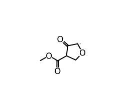 COC(=O)C1CO[CH]C1=O